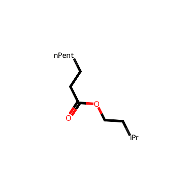 CCCCCCCC(=O)OCCC(C)C